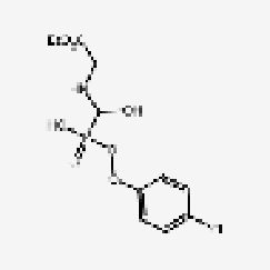 CCOC(=O)CNC(O)P(=O)(O)OOc1ccc(Cl)cc1